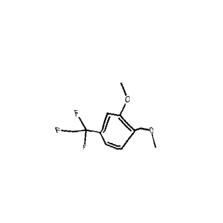 COc1ccc(C(F)(F)F)cc1OC